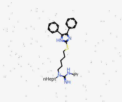 CCCCCCCN(CCCCCSc1nc(-c2ccccc2)c(-c2ccccc2)[nH]1)C(=N)NC(C)C